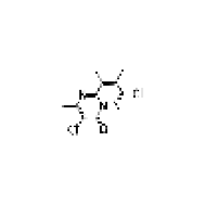 Cc1nc2c(C)c(C)c(Cl)nn2c(=O)c1Cl